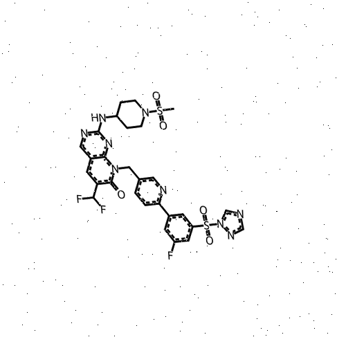 CS(=O)(=O)N1CCC(Nc2ncc3cc(C(F)F)c(=O)n(Cc4ccc(-c5cc(F)cc(S(=O)(=O)n6cncn6)c5)nc4)c3n2)CC1